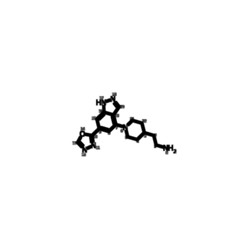 NCCC1CCN(c2cc(-c3nnco3)cc3[nH]ncc23)CC1